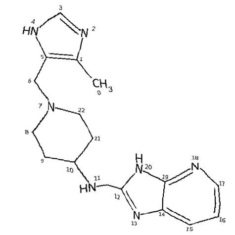 Cc1nc[nH]c1CN1CCC(Nc2nc3cccnc3[nH]2)CC1